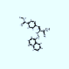 COC(=O)c1ccc(/C=C(\COc2cccc3ccccc23)C(=O)O)cc1